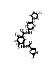 Cc1ncc(C(=O)Nc2cc(C(=O)Nc3cnc(N4CC[C@H](F)C4)cn3)c(F)cc2C)s1